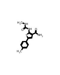 CNC(=O)Nc1sc(-c2ccc(C)cc2)cc1C(N)=O